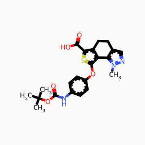 Cn1ncc2c1-c1c(Oc3ccc(NC(=O)OC(C)(C)C)cc3)sc(C(=O)O)c1CC2